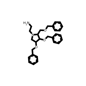 NCCN1CC(OCc2ccccc2)C(OCc2ccccc2)C1COCc1ccccc1